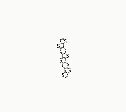 c1cc2sc3cc4c(cc3c2s1)sc1c2cc3sc5ccsc5c3cc2sc41